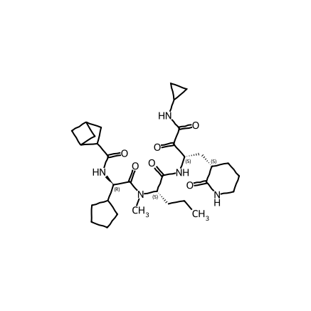 CCC[C@@H](C(=O)N[C@@H](C[C@@H]1CCCNC1=O)C(=O)C(=O)NC1CC1)N(C)C(=O)[C@H](NC(=O)C1CC2CC1C2)C1CCCC1